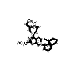 Cc1cccc2cccc(N3CCc4c(nc(C(=O)O)nc4N4CCNC(CC#N)C4)C3)c12